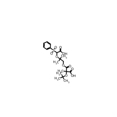 CC(C)(C)OC(C)(C(=O)O)C(=O)OCC(C)(C)OC(C(=O)O)S(=O)(=O)c1ccccc1